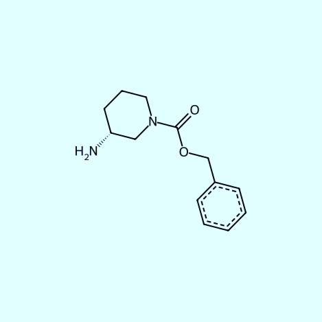 N[C@@H]1CCCN(C(=O)OCc2ccccc2)C1